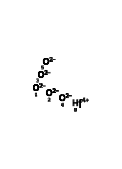 [Hf+4].[O-2].[O-2].[O-2].[O-2].[O-2]